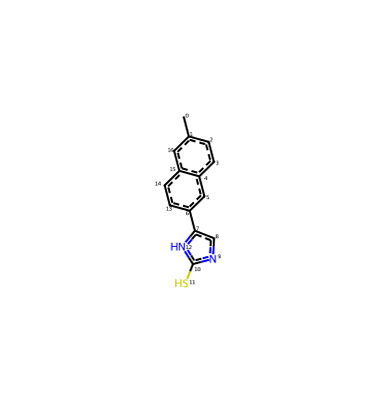 Cc1ccc2cc(-c3cnc(S)[nH]3)ccc2c1